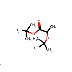 CC(OC(C)(C)C)C(=O)OC(C)(C)C